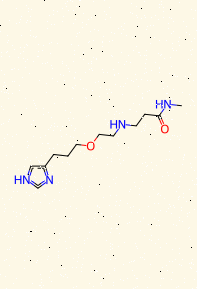 CNC(=O)CCNCCOCCCc1c[nH]cn1